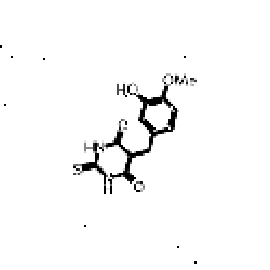 COc1ccc(CC2C(=O)NC(=S)NC2=O)cc1O